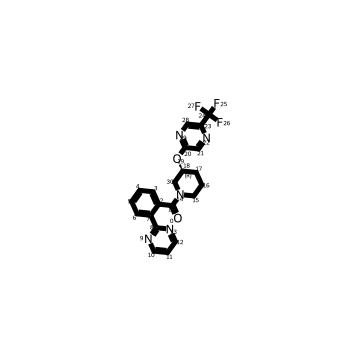 O=C(c1ccccc1-c1ncccn1)N1CCC[C@@H](Oc2cnc(C(F)(F)F)cn2)C1